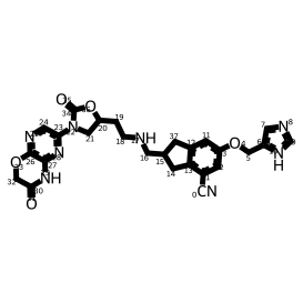 N#Cc1cc(OCc2cnc[nH]2)cc2c1CC(CNCCC1CN(c3cnc4c(n3)NC(=O)CO4)C(=O)O1)C2